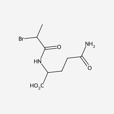 CC(Br)C(=O)NC(CCC(N)=O)C(=O)O